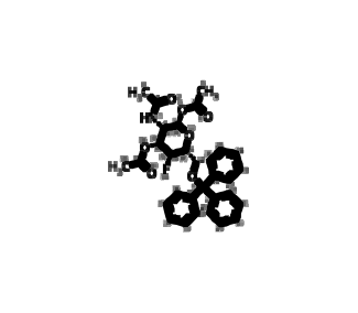 CC(=O)N[C@@H]1[C@@H](OC(C)=O)O[C@H](COC(c2ccccc2)(c2ccccc2)c2ccccc2)[C@@H](F)[C@@H]1OC(C)=O